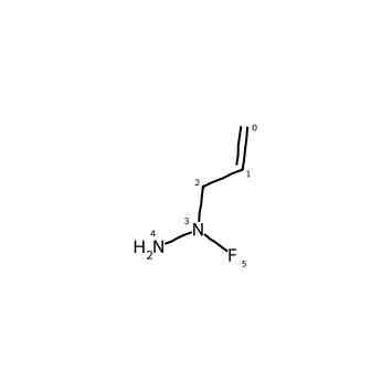 C=CCN(N)F